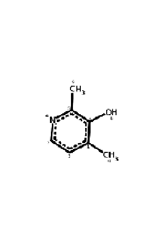 Cc1[c]cnc(C)c1O